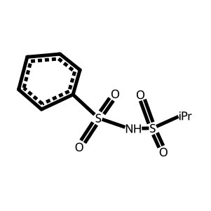 CC(C)S(=O)(=O)NS(=O)(=O)c1ccccc1